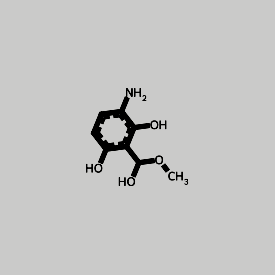 COC(O)c1c(O)ccc(N)c1O